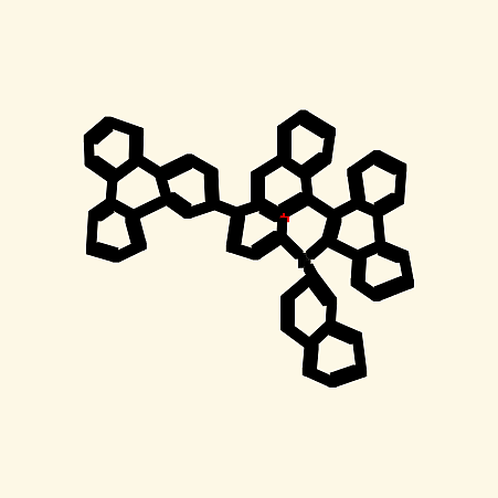 c1ccc2cc(N(c3ccc(-c4ccc5c6ccccc6c6ccccc6c5c4)cc3)c3c(-c4cccc5ccccc45)c4ccccc4c4ccccc34)ccc2c1